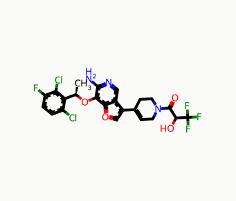 C[C@@H](Oc1c(N)ncc2c(C3=CCN(C(=O)C(O)C(F)(F)F)CC3)coc12)c1c(Cl)ccc(F)c1Cl